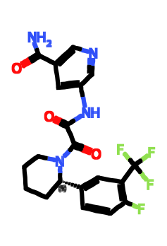 NC(=O)c1cncc(NC(=O)C(=O)N2CCCC[C@H]2c2ccc(F)c(C(F)(F)F)c2)c1